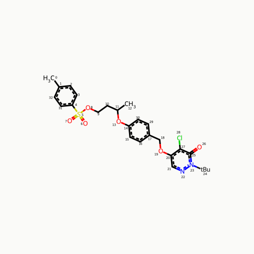 Cc1ccc(S(=O)(=O)OCCC(C)Oc2ccc(COc3cnn(C(C)(C)C)c(=O)c3Cl)cc2)cc1